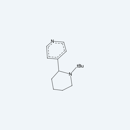 CC(C)(C)N1CCCCC1c1ccncc1